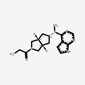 CCC(=O)N1C[C@H]2C[C@@H](N(C)c3ncnc4[nH]ccc34)C[C@H]2C1